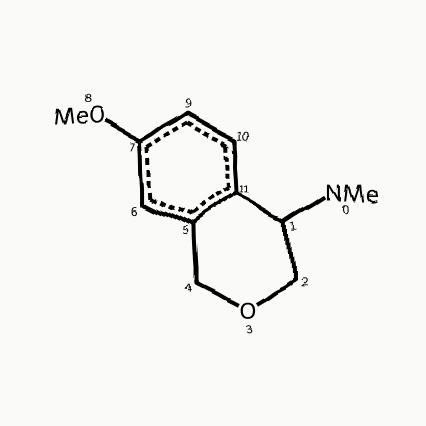 CNC1COCc2cc(OC)ccc21